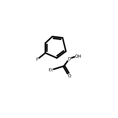 CCC(=O)OO.Fc1ccccc1